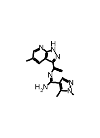 C=C(/N=C(/N)c1cnn(C)c1C)c1n[nH]c2ncc(C)cc12